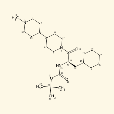 CN1CCC(C2CCN(C(=O)[C@@H](CC3CCCCC3)NC(=O)OC(C)(C)C)CC2)CC1